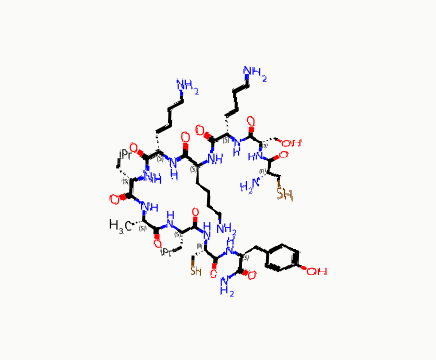 CC(C)C[C@H](NC(=O)[C@H](C)NC(=O)[C@H](CC(C)C)NC(=O)[C@H](CCCCN)NC(=O)[C@H](CCCCN)NC(=O)[C@H](CCCCN)NC(=O)[C@H](CO)NC(=O)[C@@H](N)CS)C(=O)N[C@@H](CS)C(=O)N[C@@H](Cc1ccc(O)cc1)C(N)=O